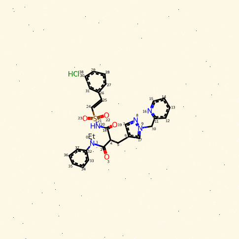 CCN(C(=O)C(Cc1cnn(Cc2ccccn2)c1)C(=O)NS(=O)(=O)C=Cc1ccccc1)c1ccccc1.Cl